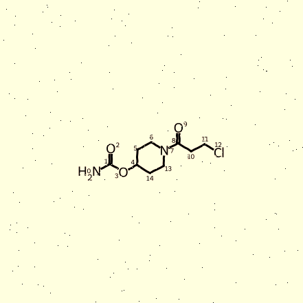 NC(=O)OC1CCN(C(=O)CCCl)CC1